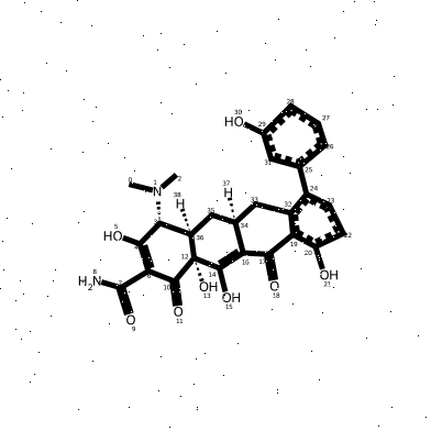 CN(C)[C@H]1C(O)=C(C(N)=O)C(=O)[C@]2(O)C(O)=C3C(=O)c4c(O)ccc(-c5cccc(O)c5)c4C[C@@H]3C[C@H]12